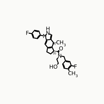 Cc1ccc(CN(CCO)C(=O)[C@H]2CCC3=C2[C@@H](C)C2=CNN(c4ccc(F)cc4)C2=C3)cc1F